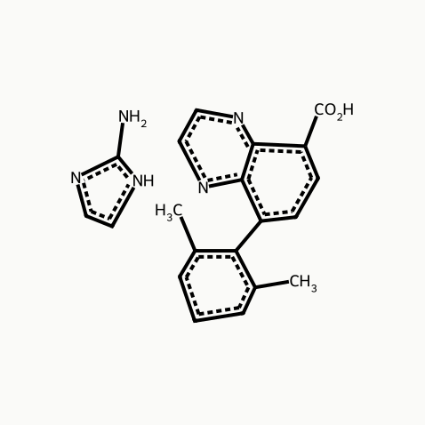 Cc1cccc(C)c1-c1ccc(C(=O)O)c2nccnc12.Nc1ncc[nH]1